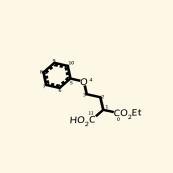 CCOC(=O)C(CCOc1ccccc1)C(=O)O